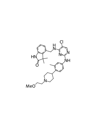 COCCN1CCC(c2ccc(Nc3ncc(Cl)c(NCc4cccc5c4C(C)(C)C(=O)N5)n3)cc2C)CC1